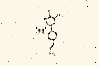 C#N.C#N.Cc1cc(-c2ccc(C=NN)cc2)n[nH]c1=O